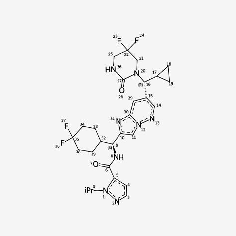 CC(C)n1nccc1C(=O)N[C@H](c1cn2ncc([C@@H](C3CC3)N3CC(F)(F)CNC3=O)cc2n1)C1CCC(F)(F)CC1